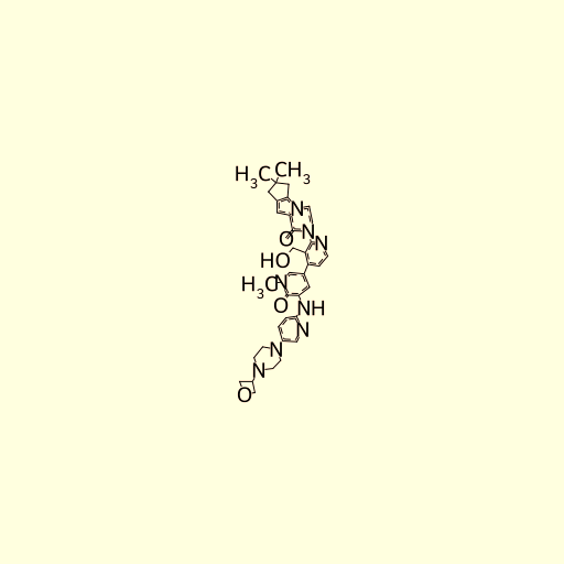 Cn1cc(-c2ccnc(-n3ccn4c5c(cc4c3=O)CC(C)(C)C5)c2CO)cc(Nc2ccc(N3CCN(C4COC4)CC3)cn2)c1=O